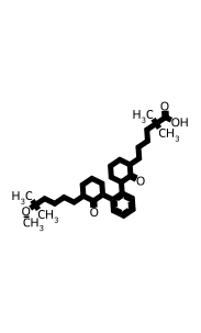 COC(C)(C)CCCCC1CCCC(c2ccccc2C2CCCC(CCCCC(C)(C)C(=O)O)C2=O)C1=O